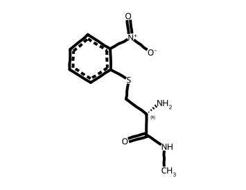 CNC(=O)[C@@H](N)CSc1ccccc1[N+](=O)[O-]